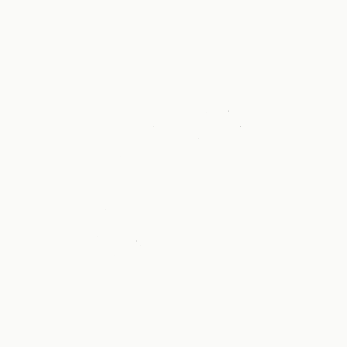 C=CC(=O)Oc1c(C)cc(C(c2ccc(C)cc2)c2cc(C)c(OC(=O)C=C)c(C)c2)cc1C